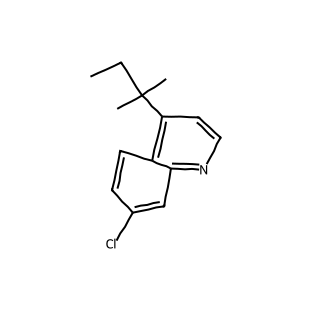 CCC(C)(C)c1ccnc2cc(Cl)ccc12